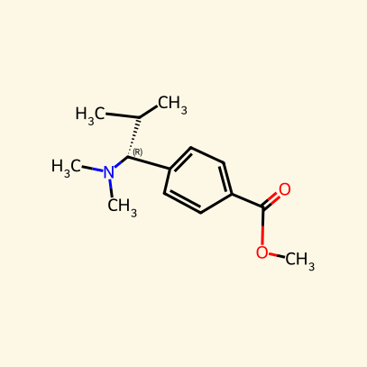 COC(=O)c1ccc([C@@H](C(C)C)N(C)C)cc1